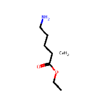 CCOC(=O)CCCCN.[CaH2]